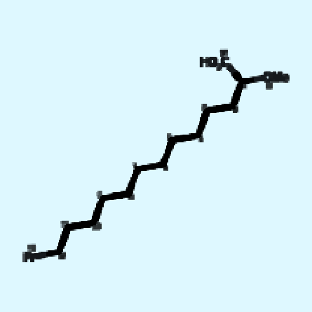 COC(CCCCCCCCCCCC(C)C)C(=O)O